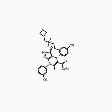 COC(=O)C1=C(C)N(c2cccc(C(F)(F)F)c2)c2n[nH]c(=O)n2[C@@H]1c1ccc(C#N)cc1CC[N+](C)(C)CC1CCC1